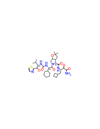 CC(C)[C@H](NC(=O)N[C@H](C(=O)N1CC2OC(C)(C)CC2[C@H]1C(=O)NC(CC1CCC1)C(=O)C(N)=O)C1CCCCC1)C(=O)c1nccs1